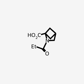 CCC(=O)N1CC2CC1(C(=O)O)C2